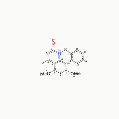 COc1cc(OC)c2c(C)cc(=O)n(Cc3ccccc3)c2c1